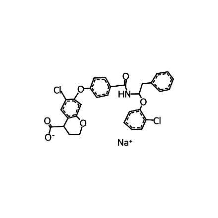 O=C(NC(Cc1ccccc1)Oc1ccccc1Cl)c1ccc(Oc2cc3c(cc2Cl)C(C(=O)[O-])CCO3)cc1.[Na+]